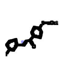 CCCCCCCCSc1ccc(C(=O)/C=C/c2cccc(I)c2)cc1